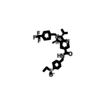 CC[S+]([O-])c1ccc(CNC(=O)c2cnc3c(c2)[C@@H](C)N(Cc2ccc(C(F)(F)F)cc2)[C@H]3C(C)C)cc1